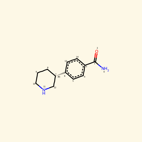 NC(=O)c1ccc([C@H]2CCCNC2)cc1